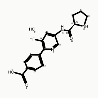 Cl.O=C(O)c1ccc(-c2ncc(NC(=O)[C@H]3CCCN3)cc2F)cc1